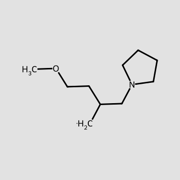 [CH2]C(CCOC)CN1CCCC1